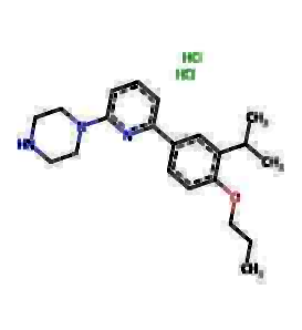 CCCOc1ccc(-c2cccc(N3CCNCC3)n2)cc1C(C)C.Cl.Cl